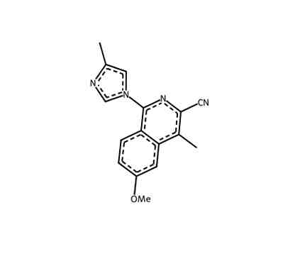 COc1ccc2c(-n3cnc(C)c3)nc(C#N)c(C)c2c1